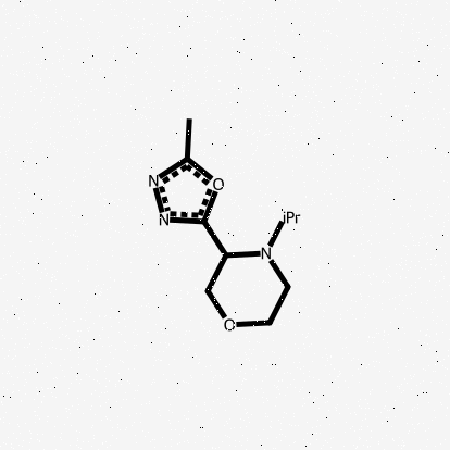 Cc1nnc(C2COCCN2C(C)C)o1